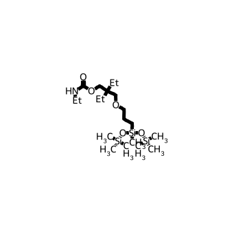 CCNC(=O)OCC(CC)(CC)COCCC[Si](C)(O[Si](C)(C)C)O[Si](C)(C)C